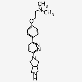 CN(C)CCOc1ccc(-c2ccc(N3CC4CNCC4C3)nn2)cc1